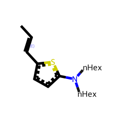 C/C=C/c1ccc(N(CCCCCC)CCCCCC)s1